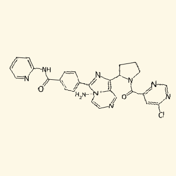 N[N+]12C=CN=CC1=C(C1CCCN1C(=O)c1cc(Cl)ncn1)N=C2c1ccc(C(=O)Nc2ccccn2)cc1